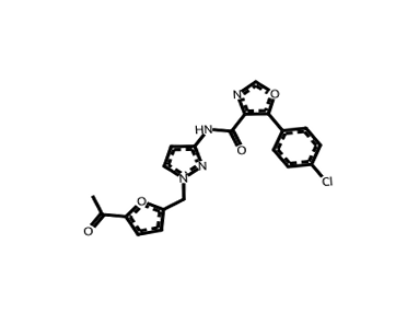 CC(=O)c1ccc(Cn2ccc(NC(=O)c3ncoc3-c3ccc(Cl)cc3)n2)o1